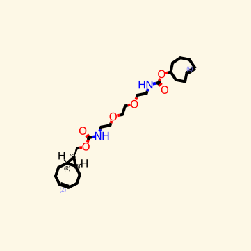 O=C(NCCOCCOCCNC(=O)OC1CC/C=C/CCC1)OC[C@@H]1[C@@H]2CC/C=C\CC[C@@H]21